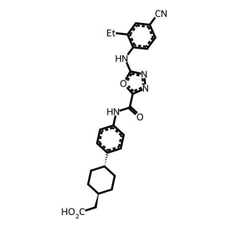 CCc1cc(C#N)ccc1Nc1nnc(C(=O)Nc2ccc([C@H]3CC[C@H](CC(=O)O)CC3)cc2)o1